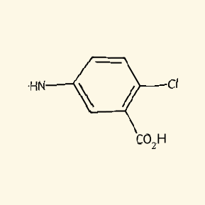 [NH]c1ccc(Cl)c(C(=O)O)c1